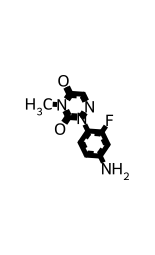 Cn1c(=O)cnn(-c2ccc(N)cc2F)c1=O